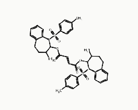 Cc1ccc(S(=O)(=O)N2c3ccccc3CCC(N)C2OC(=O)/C=C/C(=O)OC2C(N)CCc3ccccc3N2S(=O)(=O)c2ccc(C)cc2)cc1